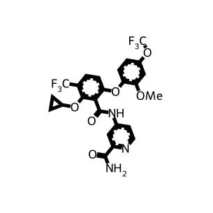 COc1cc(OC(F)(F)F)ccc1Oc1ccc(C(F)(F)F)c(OC2CC2)c1C(=O)Nc1ccnc(C(N)=O)c1